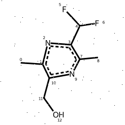 Cc1nc(C(F)F)c(C)nc1CO